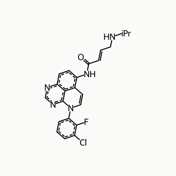 CC(C)NC/C=C/C(=O)Nc1ccc2ncnc3c2c1C=CN3c1cccc(Cl)c1F